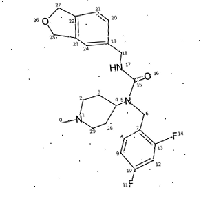 CN1CCC(N(Cc2ccc(F)cc2F)C(=O)NCc2ccc3c(c2)COC3)CC1